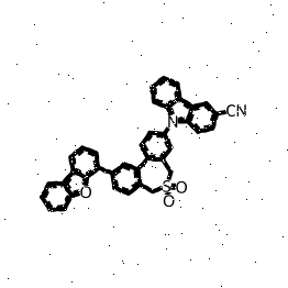 N#Cc1ccc2c(c1)c1ccccc1n2-c1ccc2c(c1)CS(=O)(=O)Cc1ccc(-c3cccc4c3oc3ccccc34)cc1-2